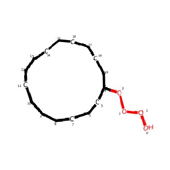 OOOOC1CCCCCCCCCCCCCCC1